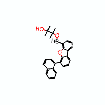 CC(C)(O)C(C)(C)OBc1cccc2c1oc1c(-c3cccc4ccccc34)cccc12